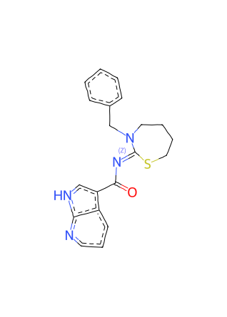 O=C(/N=C1\SCCCCN1Cc1ccccc1)c1c[nH]c2ncccc12